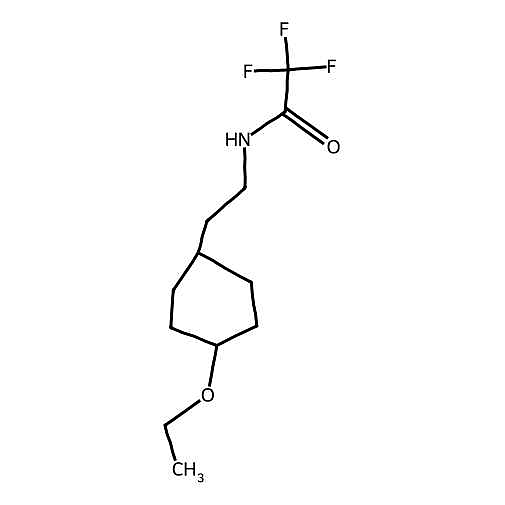 CCOC1CCC(CCNC(=O)C(F)(F)F)CC1